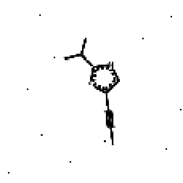 CC#Cc1cnc(C(C)C)s1